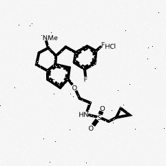 CNC1CCc2ccc(OCCNS(=O)(=O)CC3CC3)cc2C1Cc1cc(F)cc(F)c1.Cl